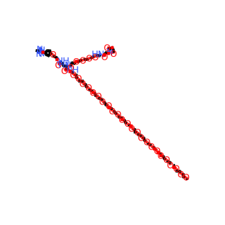 COCCOCCOCCOCCOCCOCCOCCOCCOCCOCCOCCOCCOCCOCCOCCOCCOCCOCCOCCOCCOCCOCCOCCOCCNC(=O)C(CCC(=O)NCCCOc1ccc(-c2nnc(C)nn2)cc1)NC(=O)CCOCCOCCOCCOCCNC(=O)CCN1C(=O)C=CC1=O